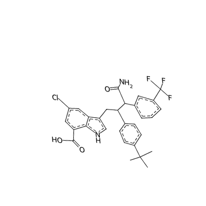 CC(C)(C)c1ccc(C(Cc2c[nH]c3c(C(=O)O)cc(Cl)cc23)C(C(N)=O)c2cccc(C(F)(F)F)c2)cc1